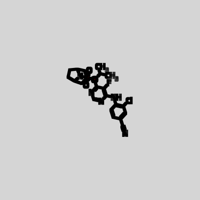 CC(C)OS(=O)(=O)N1C2CCC1CC(Oc1ncnc(Nc3ccc(C#N)cc3Cl)c1F)C2